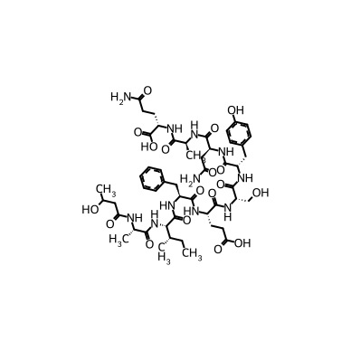 CC[C@H](C)[C@H](NC(=O)[C@H](C)NC(=O)CC(C)O)C(=O)N[C@@H](Cc1ccccc1)C(=O)N[C@@H](CCC(=O)O)C(=O)N[C@@H](CO)C(=O)N[C@@H](Cc1ccc(O)cc1)C(=O)N[C@@H](CC(N)=O)C(=O)N[C@@H](C)C(=O)N[C@@H](CCC(N)=O)C(=O)O